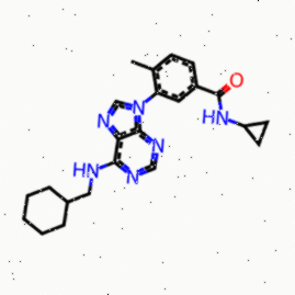 Cc1ccc(C(=O)NC2CC2)cc1-n1cnc2c(NCC3CCCCC3)ncnc21